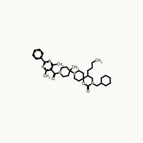 CCCCC1CN(CC2CCCCC2)C(=O)OC12CCN(C1(C)CCN(C(=O)c3c(C)nc(-c4ccccc4)nc3C)CC1)CC2